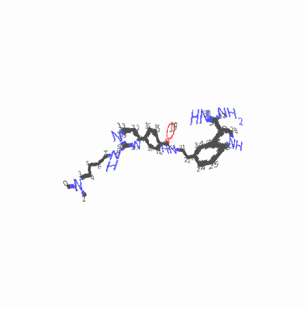 CN(C)CCCCCNc1nccc(-c2ccc(C(=O)NCCc3ccc4[nH]cc(C(=N)N)c4c3)cc2)n1